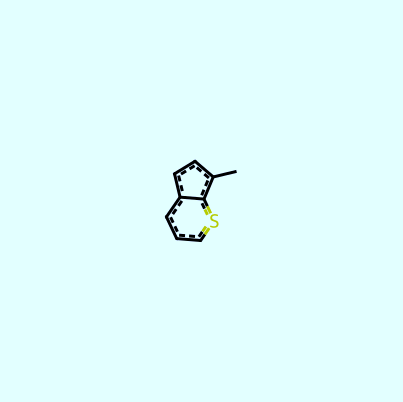 Cc1ccc2cccsc1-2